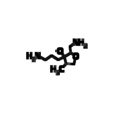 CC1COC(CN)C1([O])CCCN